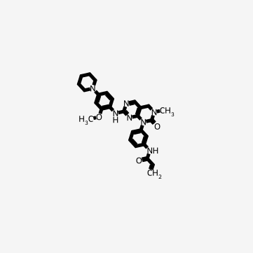 C=CC(=O)Nc1cccc(N2C(=O)N(C)Cc3cnc(Nc4ccc(N5CCCCC5)cc4OC)nc32)c1